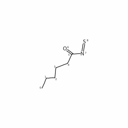 CCCCCC(=O)N=S